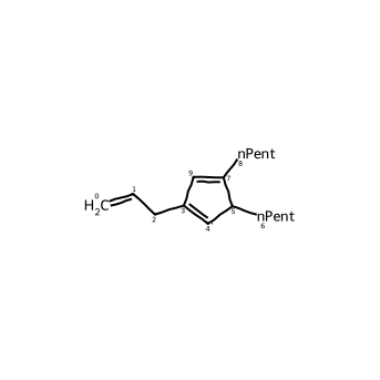 C=CCC1=[C]C(CCCCC)C(CCCCC)=C1